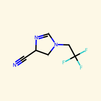 N#CC1[CH]N(CC(F)(F)F)[C]=N1